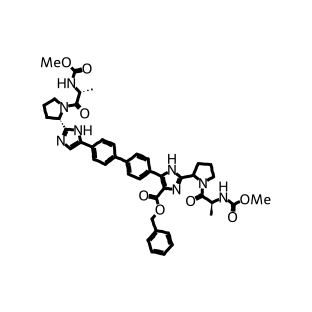 COC(=O)N[C@@H](C)C(=O)N1CCCC1c1nc(C(=O)OCc2ccccc2)c(-c2ccc(-c3ccc(-c4cnc([C@@H]5CCCN5C(=O)[C@@H](C)NC(=O)OC)[nH]4)cc3)cc2)[nH]1